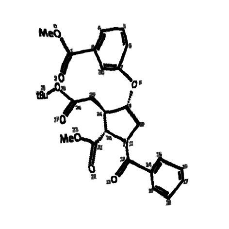 COC(=O)c1cccc(O[C@@H]2CN(C(=O)c3ccccc3)[C@H](C(=O)OC)[C@H]2CC(=O)OC(C)(C)C)c1